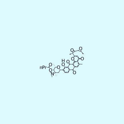 CCCC(=O)O[C@@H]1[C@H](C)O[C@@H](c2ccc3c(c2O)C(=O)c2c(cc(C)c4c(=O)cc([C@]5(C)O[C@H]5[C@@H]5O[C@H]5C)oc24)C3=O)C[C@@]1(C)N(C)C